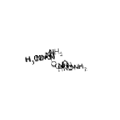 CN1CCN(c2cc(-c3ccc4c(c3)CN(C(=O)Nc3ccc(N)cn3)CC4)nc(N)n2)CC1